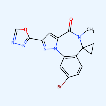 CN1C(=O)c2cc(-c3nnco3)nn2-c2cc(Br)ccc2C12CC2